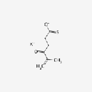 C=C(C)C(=O)CCC([O-])=S.[K+]